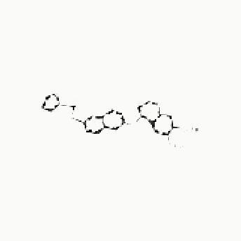 COc1cc2nccc(Oc3ccc4cc(NC(=O)c5cccs5)ccc4c3)c2cc1OC